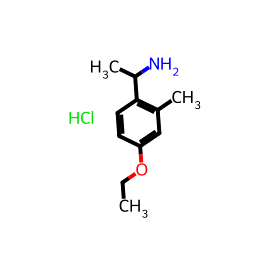 CCOc1ccc(C(C)N)c(C)c1.Cl